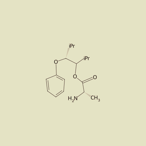 CC(C)C(OC(=O)[C@H](C)N)[C@H](Oc1ccccc1)C(C)C